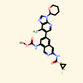 Cc1c(-c2cc(NC(=O)OC(C)(C)C)c3cnc(NC(=O)[C@@H]4C[C@@H]4F)cc3c2)cnc2c1ncn2C1CCCCO1